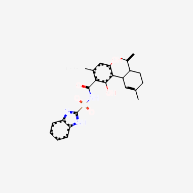 C=C(C)C1CCC(C)=CC1c1c(O)cc(CCCCC)c(C(=O)NS(=O)(=O)c2nc3ccccc3[nH]2)c1O